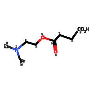 CCN(CCOC(=O)CCC(=O)O)C(C)C